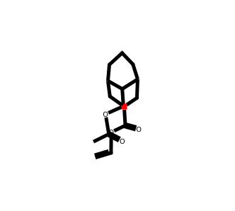 C=COC(=O)N1CC2CCCC(C1)C2COC(C)=O